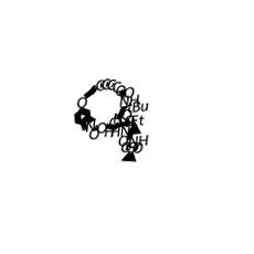 CC[C@H]1C[C@@]1(NC(=O)C1C[C@@H]2CN1C(=O)[C@H](C(C)(C)C)NC(=O)OCCCC/C=C/COc1ccc3c(c1)CN(C3)C(=O)O2)C(=O)NS(=O)(=O)C1CC1